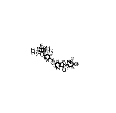 BC(B)(F)C(B)(B)Oc1ccc(COc2cnc3c(c2)CN(c2ccc(=O)n(C)n2)C3=O)nc1